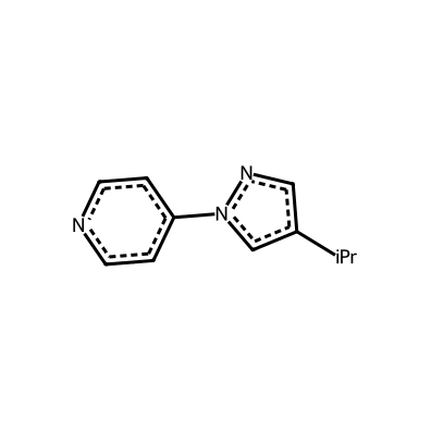 CC(C)c1cnn(-c2ccncc2)c1